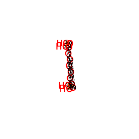 O=P(O)(O)OCCOCCOCCOCCOCCOCCOP(=O)(O)O